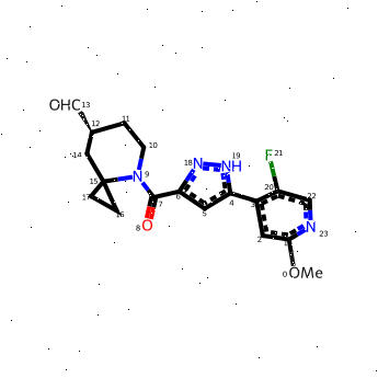 COc1cc(-c2cc(C(=O)N3CC[C@H](C=O)CC34CC4)n[nH]2)c(F)cn1